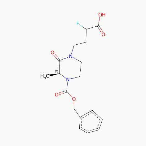 C[C@H]1C(=O)N(CCC(F)C(=O)O)CCN1C(=O)OCc1ccccc1